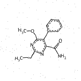 CCc1nc(OC)c(-c2ccccc2)c(C(N)=O)n1